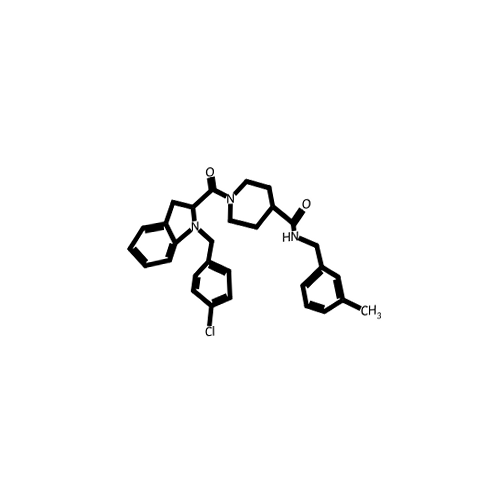 Cc1cccc(CNC(=O)C2CCN(C(=O)C3Cc4ccccc4N3Cc3ccc(Cl)cc3)CC2)c1